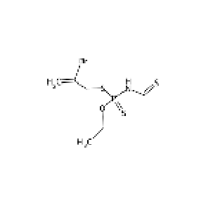 C=C(Br)CSP(=S)(NC=S)OCC